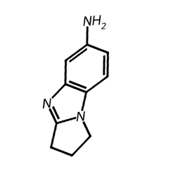 Nc1ccc2c(c1)nc1n2CCC1